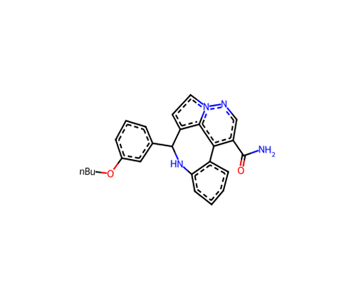 CCCCOc1cccc(C2Nc3ccccc3-c3c(C(N)=O)cnn4ccc2c34)c1